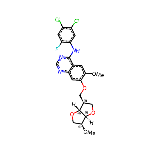 COc1cc2c(Nc3cc(Cl)c(Cl)cc3F)ncnc2cc1OC[C@H]1CO[C@@H]2[C@@H]1OC[C@@H]2OC